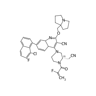 C=C(F)C(=O)N1CCN(C2=C(C#N)C(OCC34CCCN3CCC4)=NC3C=C(c4cccc5ccc(F)c(Cl)c45)C=CC23)C[C@@H]1CC#N